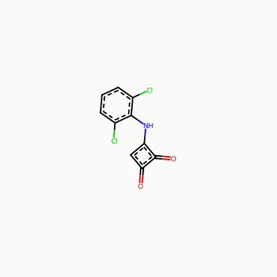 O=c1cc(Nc2c(Cl)cccc2Cl)c1=O